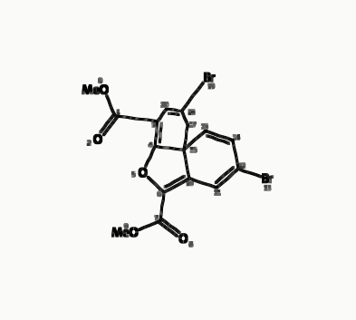 COC(=O)C1=C2OC(C(=O)OC)=C3C=C(Br)C=CC32CC(Br)=C1